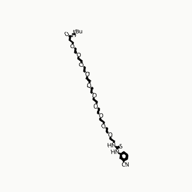 CC(C)(C)OC(=O)CCOCCOCCOCCOCCOCCOCCOCCOCCOCCOCCNC(=S)Nc1cccc(C#N)c1